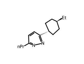 CCCc1ccc([C@H]2CC[C@H](CC)CC2)nn1